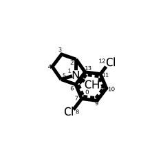 CN1C2CCC1c1c(Cl)ccc(Cl)c12